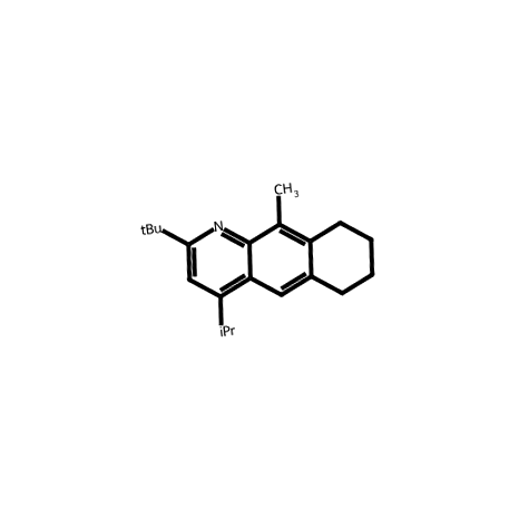 Cc1c2c(cc3c(C(C)C)cc(C(C)(C)C)nc13)CCCC2